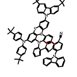 CC(C)(C)c1ccc(N(c2ccc(C(C)(C)C)cc2)c2cc3c4c(c2)N(c2ccccc2-c2ccccc2)c2cc(-c5cc(-n6c7ccccc7c7ccccc76)ccc5C#N)ccc2B4c2ccc(-n4c5ccc(C(C)(C)C)cc5c5cc(C(C)(C)C)ccc54)cc2S3)cc1